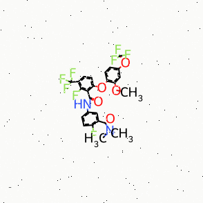 COc1cc(OC(F)(F)F)ccc1Oc1ccc(C(F)(F)F)c(F)c1C(=O)Nc1ccc(F)c(C(=O)N(C)C)c1